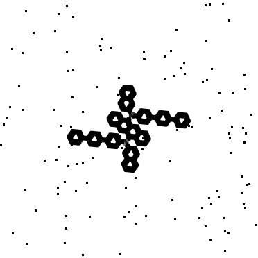 c1ccc(-c2ccc(-c3ccc(N(c4ccc5ccccc5c4)c4c5ccccc5cc5c(N(c6ccc(-c7ccc(-c8ccccc8)cc7)cc6)c6ccc7ccccc7c6)c6ccccc6cc45)cc3)cc2)cc1